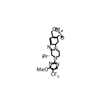 COc1nc(N2CCN3C(=NC4=CC(CO)=C(S(C)(=O)=O)CC43)[C@H]2C(C)C)ncc1C(F)(F)F